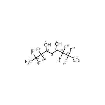 OC(CC(O)C(F)(F)C(F)(F)C(F)(F)F)C(F)(F)C(F)(F)C(F)(F)F